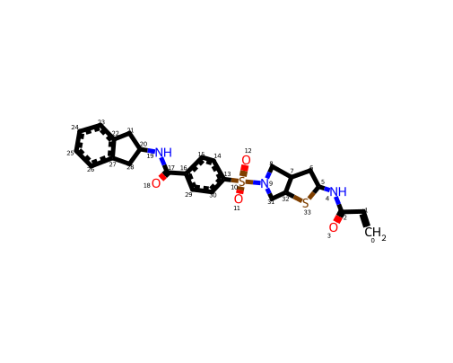 C=CC(=O)NC1CC2CN(S(=O)(=O)c3ccc(C(=O)NC4Cc5ccccc5C4)cc3)CC2S1